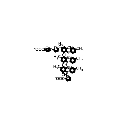 Cc1ccc([I+]c2c(C)cc(C)cc2C)cc1.Cc1ccc([I+]c2c(C)cc(C)cc2C)cc1.Cc1ccc([I+]c2c(C)cc(C)cc2C)cc1.O=C([O-])c1ccco1.O=C([O-])c1ccco1.O=C([O-])c1ccco1